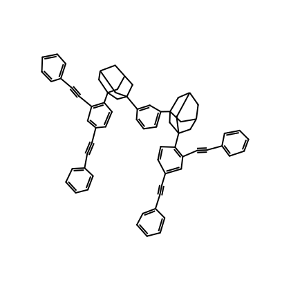 C(#Cc1ccc(C23CC4CC(CC(c5cccc(C67CC8CC(C6)CC(c6ccc(C#Cc9ccccc9)cc6C#Cc6ccccc6)(C8)C7)c5)(C4)C2)C3)c(C#Cc2ccccc2)c1)c1ccccc1